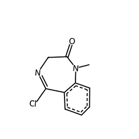 CN1C(=O)CN=C(Cl)c2ccccc21